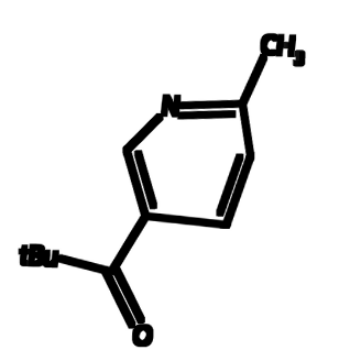 Cc1ccc(C(=O)C(C)(C)C)cn1